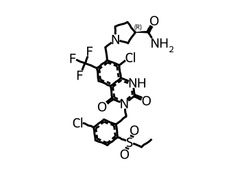 CCS(=O)(=O)c1ccc(Cl)cc1Cn1c(=O)[nH]c2c(Cl)c(CN3CC[C@@H](C(N)=O)C3)c(C(F)(F)F)cc2c1=O